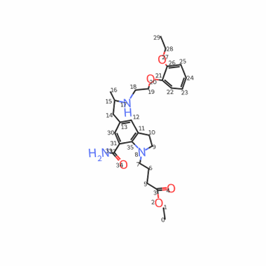 CCOC(=O)CCCN1CCc2cc(CC(C)NCCOc3ccccc3OCC)cc(C(N)=O)c21